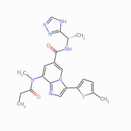 CCC(=O)N(C)c1cc(C(=O)N[C@@H](C)c2nnc[nH]2)cn2c(-c3ccc(C)s3)cnc12